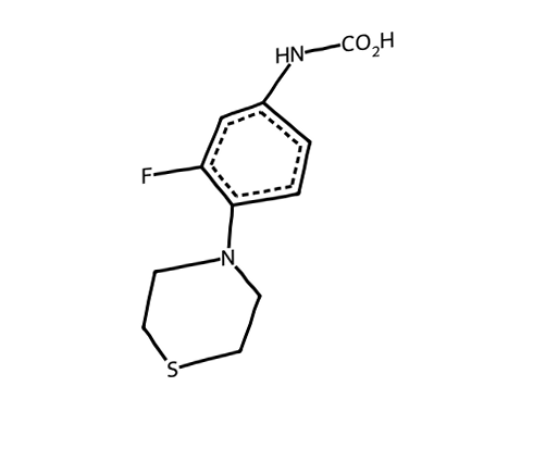 O=C(O)Nc1ccc(N2CCSCC2)c(F)c1